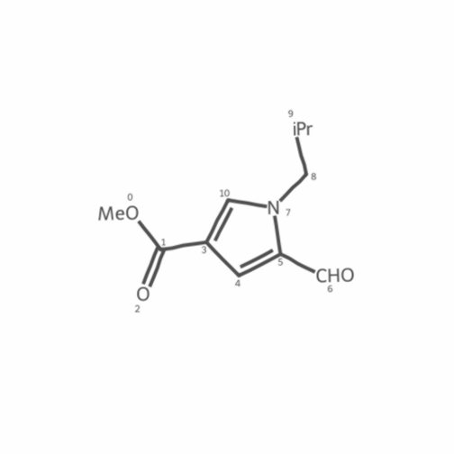 COC(=O)c1cc(C=O)n(CC(C)C)c1